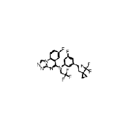 Fc1cc(CCC2(C(F)(F)F)CC2)cc(N(CC(F)(F)F)c2nc3nncn3c3ccc(F)cc23)c1